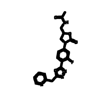 CC(=O)NCC1CN(c2ccc(-c3nnc(Cc4ccccn4)o3)c(F)c2)C(=O)O1